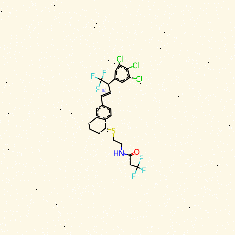 O=C(CC(F)(F)F)NCCSC1CCCc2cc(/C=C/C(c3cc(Cl)c(Cl)c(Cl)c3)C(F)(F)F)ccc21